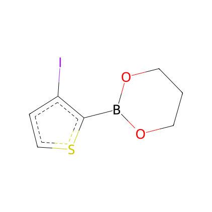 Ic1ccsc1B1OCCCO1